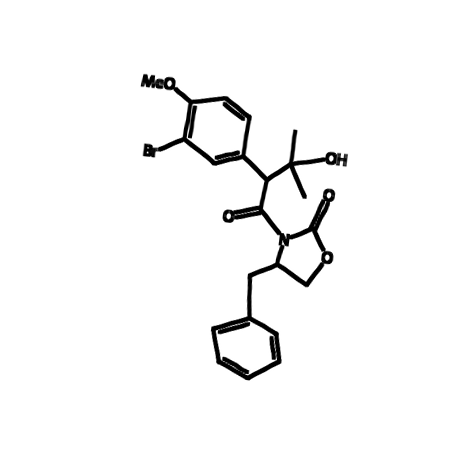 COc1ccc(C(C(=O)N2C(=O)OCC2Cc2ccccc2)C(C)(C)O)cc1Br